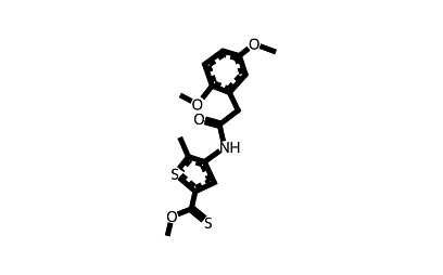 COC(=S)c1cc(NC(=O)Cc2cc(OC)ccc2OC)c(C)s1